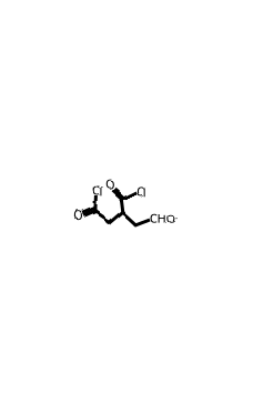 O=[C]CC(CC(=O)Cl)C(=O)Cl